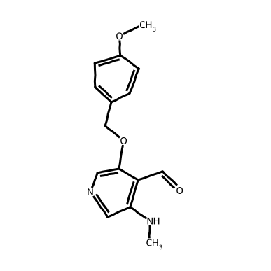 CNc1cncc(OCc2ccc(OC)cc2)c1C=O